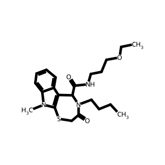 CCCCN1C(=O)CSc2c(c3ccccc3n2C)C1C(=O)NCCCOCC